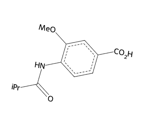 COc1cc(C(=O)O)ccc1NC(=O)C(C)C